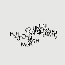 CN/C(S)=N/N=C(/C(=N/N=C(\S)NC(C)(C)CCOC(C)(N)C(C)(C)C)c1ccccc1)c1ccc(C(N)=O)cc1